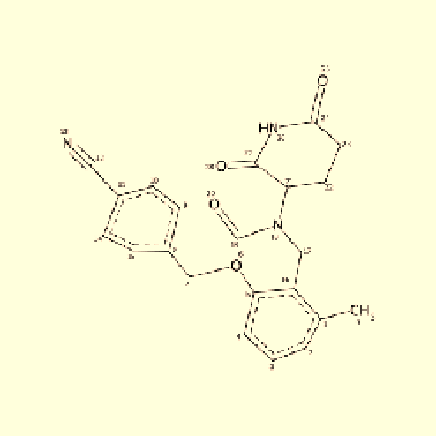 Cc1cccc(OCc2ccc(C#N)cc2)c1CN(C=O)C1CCC(=O)NC1=O